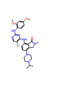 COc1ccc(Nc2ncc(Cl)c(Nc3ccc(N4CCN(C(C)C)CC4)c4c3C(=O)N(C)C4)n2)c(OC)c1